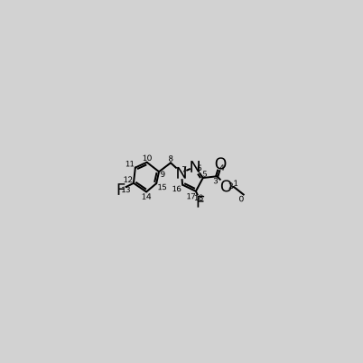 CCOC(=O)c1nn(Cc2ccc(F)cc2)cc1F